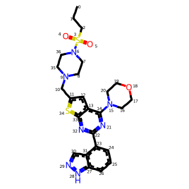 CCCS(=O)(=O)N1CCN(Cc2cc3c(N4CCOCC4)nc(-c4cccc5[nH]ncc45)nc3s2)CC1